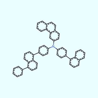 c1ccc(-c2cccc3c(-c4ccc(N(c5ccc(-c6cccc7ccccc67)cc5)c5ccc6ccc7ccccc7c6c5)cc4)cccc23)cc1